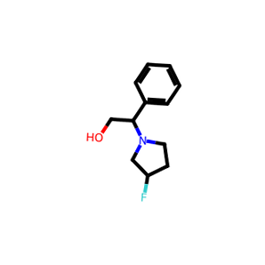 OCC(c1ccccc1)N1CCC(F)C1